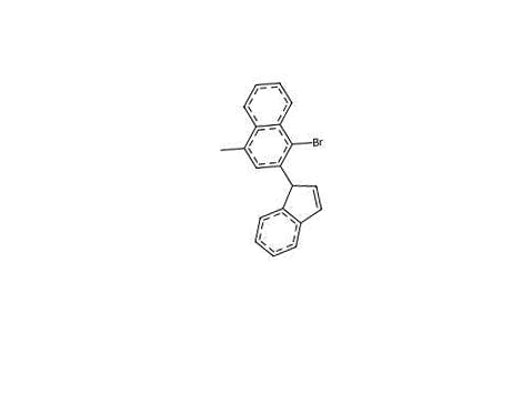 Cc1cc(C2C=Cc3ccccc32)c(Br)c2ccccc12